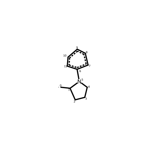 [CH2]C1CCCN1c1ccccc1